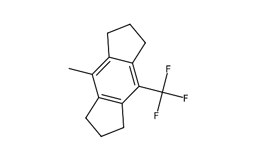 Cc1c2c(c(C(F)(F)F)c3c1CCC3)CCC2